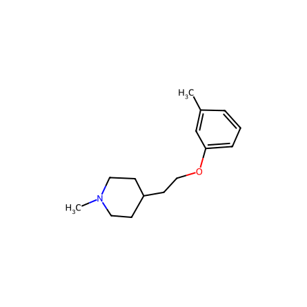 Cc1cccc(OCCC2CCN(C)CC2)c1